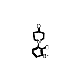 O=C1CCN(c2cccc(Br)c2Cl)CC1